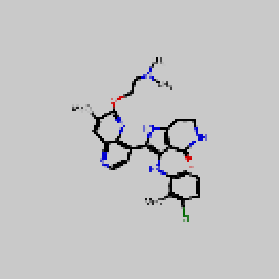 COc1cc2nccc(-c3[nH]c4c(c3Nc3cccc(Cl)c3OC)C(=O)NCC4)c2nc1OCCN(C)C